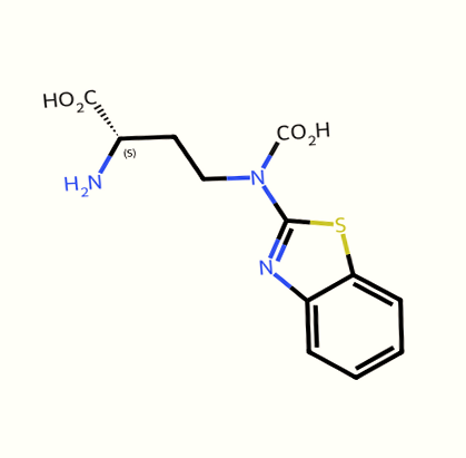 N[C@@H](CCN(C(=O)O)c1nc2ccccc2s1)C(=O)O